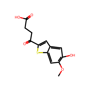 COc1cc2sc(C(=O)CCC(=O)O)cc2cc1O